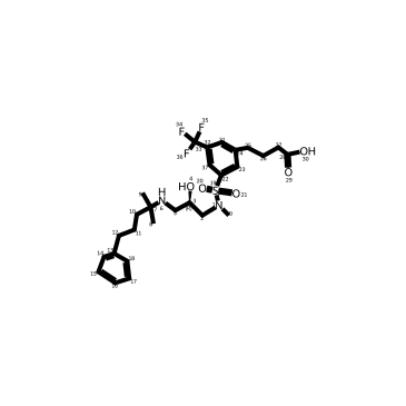 CN(C[C@H](O)CNC(C)(C)CCCc1ccccc1)S(=O)(=O)c1cc(CCCC(=O)O)cc(C(F)(F)F)c1